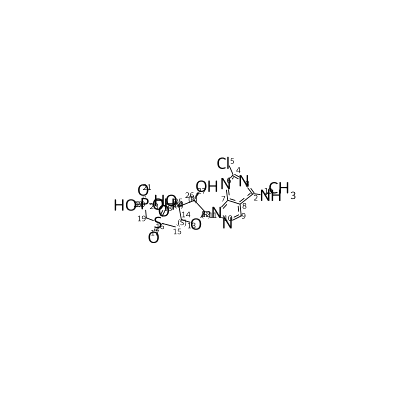 CNc1nc(Cl)nc2c1cnn2[C@@H]1O[C@H](CS(=O)(=O)CP(=O)(O)O)[C@@H](O)[C@H]1O